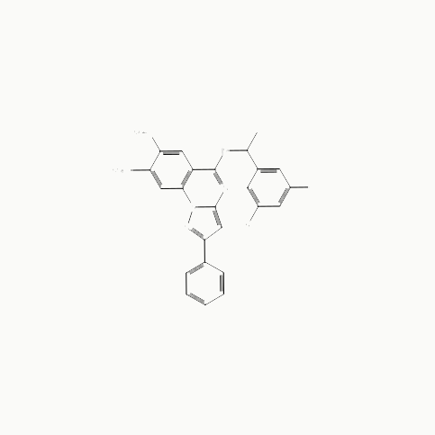 COc1cc2c(NC(C)c3cc(N)cc(C(F)(F)F)c3)nc3cc(-c4ccccc4)nn3c2cc1OC